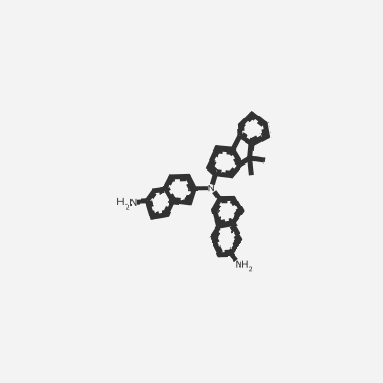 CC1(C)c2ccccc2-c2ccc(N(c3ccc4cc(N)ccc4c3)c3ccc4cc(N)ccc4c3)cc21